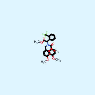 COC(=O)C(c1ccccc1C(F)(F)F)N(Cc1ccc(OC)cc1OC)C(=O)c1ccc(OC)cc1